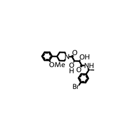 COc1ccccc1C1CCN(C(=O)[C@H](O)[C@@H](O)C(=O)N[C@@H](C)c2ccc(Br)cc2)CC1